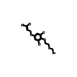 CC(=O)COCCOc1c(Cl)cc(OCC=C(Cl)Cl)cc1Cl